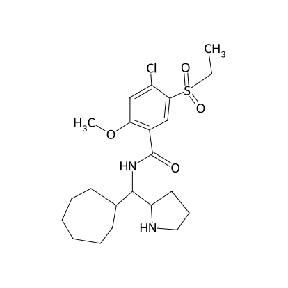 CCS(=O)(=O)c1cc(C(=O)NC(C2CCCCCC2)C2CCCN2)c(OC)cc1Cl